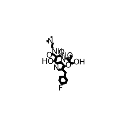 CN(C)CCNC(=O)c1c(O)c2ncc(Cc3ccc(F)cc3)c3c2n(c1=O)CC(CO)(CO)O3